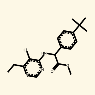 CCc1ncnc(NC(C(=O)OC)c2ccc(C(C)(C)C)cc2)c1Cl